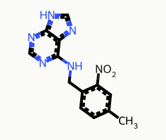 Cc1ccc(CNc2ncnc3[nH]cnc23)c([N+](=O)[O-])c1